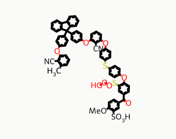 COc1ccc(C(=O)c2ccc(Oc3ccc(Sc4ccc(Oc5cccc(Oc6ccc(C7(c8ccc(Oc9cccc(C)c9C#N)cc8)c8ccccc8-c8ccccc87)cc6)c5C#N)cc4)cc3)c(SOOO)c2)cc1S(=O)(=O)O